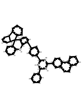 C1=CC2c3ccccc3C3(c4ccccc4Oc4c(-c5ccc(-c6nc(-c7ccccc7)nc(-c7ccc8c(ccc9ccccc98)c7)n6)cc5)cccc43)C2C=C1